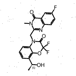 C[C@H](O)c1cccc2c1OC(F)(F)C(=O)N2Cc1nc2ccc(F)cc2c(=O)n1C